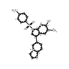 Cc1ccc(S(=O)(=O)n2cc(-c3ccc4nccn4c3)c3cc(C)c(Cl)nc32)cc1